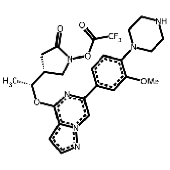 COc1cc(-c2cn3nccc3c(O[C@H](C)[C@@H]3CC(=O)N(OC(=O)C(F)(F)F)C3)n2)ccc1N1CCNCC1